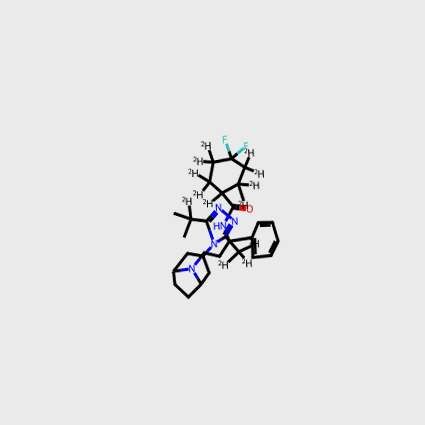 [2H]C([2H])([2H])c1nnc(C([2H])(C)C)n1C1CC2CCC(C1)N2CCC(NC(=O)C1([2H])C([2H])([2H])C([2H])([2H])C(F)(F)C([2H])([2H])C1([2H])[2H])c1ccccc1